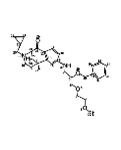 CCOCCOCC(CNc1ccc2c(c1)[C@]1(C)CCN(CC3CC3)C(C2=O)[C@@H]1C)OCc1ccccc1